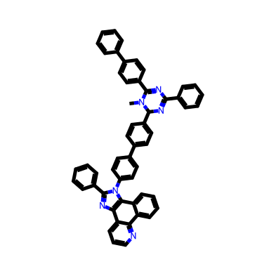 CN1C(c2ccc(-c3ccccc3)cc2)=NC(c2ccccc2)=NC1c1ccc(-c2ccc(-n3c(-c4ccccc4)nc4c5cccnc5c5ccccc5c43)cc2)cc1